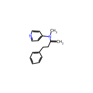 C=C(CCc1ccccc1)N(C)c1ccncc1